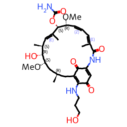 CO[C@H]1C[C@H](C)CC2=C(NCCCO)C(=O)C=C(NC(=O)/C(C)=C/C=C\[C@@H](OC)[C@@H](OC(N)=O)/C(C)=C/[C@H](C)[C@H]1O)C2=O